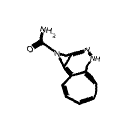 NC(=O)n1c2n[nH]c3cccccc-3c1-2